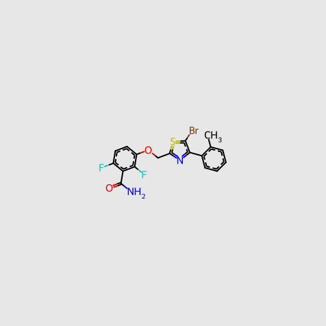 Cc1ccccc1-c1nc(COc2ccc(F)c(C(N)=O)c2F)sc1Br